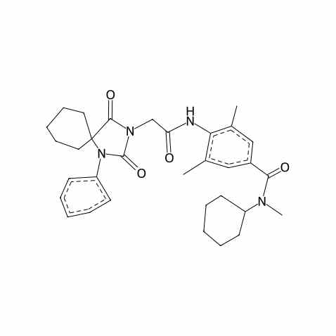 Cc1cc(C(=O)N(C)C2CCCCC2)cc(C)c1NC(=O)CN1C(=O)N(c2ccccc2)C2(CCCCC2)C1=O